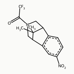 CC1(C)C2CN(C(=O)C(F)(F)F)CC1c1cc([N+](=O)[O-])ccc12